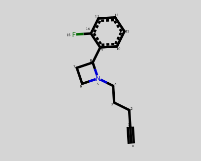 C#CCCCN1CCC1c1ccccc1F